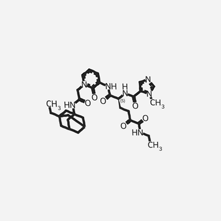 CCNC(=O)C(=O)CC[C@H](NC(=O)c1cncn1C)C(=O)Nc1cccn(CC(=O)NC23CC4CC(CC(CC)(C4)C2)C3)c1=O